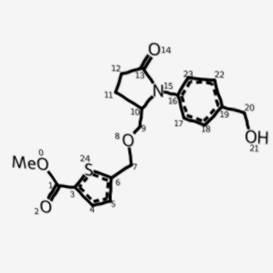 COC(=O)c1ccc(COCC2CCC(=O)N2c2ccc(CO)cc2)s1